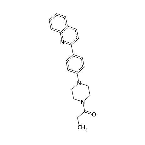 CCC(=O)N1CCN(c2ccc(-c3ccc4ccccc4n3)cc2)CC1